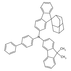 CC1(C)c2ccccc2-c2cc(N(c3ccc(-c4ccccc4)cc3)c3ccc4c(c3)C3(c5ccccc5-4)C4CC5CC(C4)CC3C5)ccc21